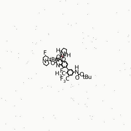 Cc1c(-c2ccc3c(N4C[C@H]5CC[C@@H](C4)N5C(=O)OC(C)(C)C)nc(OC[C@@]45CCCN4C[C@H](F)C5)nc3c2F)cc(NC(=O)OC(C)(C)C)cc1C(F)(F)F